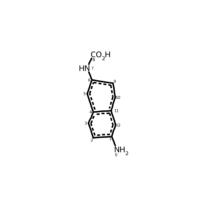 Nc1ccc2cc(NC(=O)O)ccc2c1